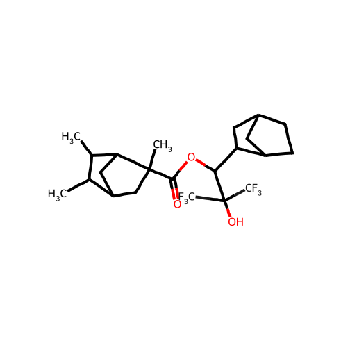 CC1C2CC(C1C)C(C)(C(=O)OC(C1CC3CCC1C3)C(O)(C(F)(F)F)C(F)(F)F)C2